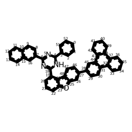 c1ccc(C2N=C(c3ccc4ccccc4c3)N=C(c3cccc4oc5cc(-c6ccc7c8ccccc8c8ccccc8c7c6)ccc5c34)N2)cc1